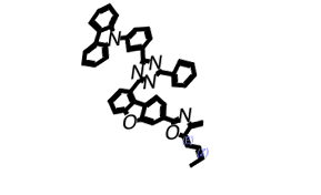 C=c1nc(-c2ccc3c(c2)oc2cccc(-c4nc(-c5ccccc5)nc(-c5cccc(-n6c7ccccc7c7ccccc76)c5)n4)c23)o/c1=C/C=C\C